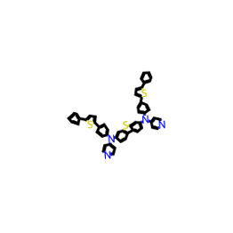 c1ccc(-c2ccc(-c3ccc(N(c4ccncc4)c4ccc5c(c4)sc4cc(N(c6ccncc6)c6ccc(-c7ccc(-c8ccccc8)s7)cc6)ccc45)cc3)s2)cc1